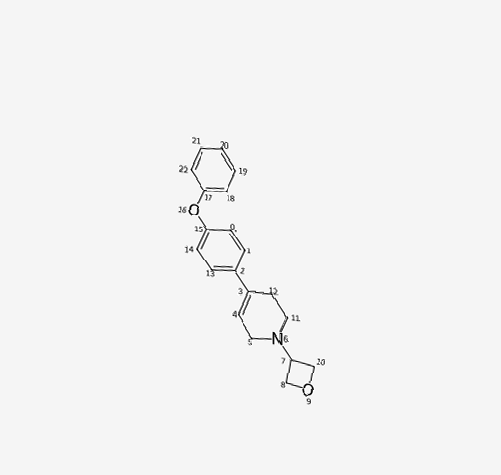 [c]1cc(C2=CCN(C3COC3)CC2)ccc1Oc1ccccc1